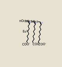 CCCCCCCC/C=C\CCCCCCCC(=O)[O-].CCCCCCCC/C=C\CCCCCCCC(=O)[O-].CCCCCCCC/C=C\CCCCCCCC(=O)[O-].[Eu+3]